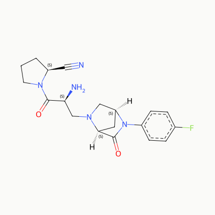 N#C[C@@H]1CCCN1C(=O)[C@@H](N)CN1C[C@@H]2C[C@H]1C(=O)N2c1ccc(F)cc1